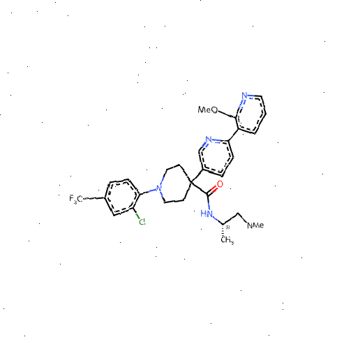 CNC[C@H](C)NC(=O)C1(c2ccc(-c3cccnc3OC)nc2)CCN(c2ccc(C(F)(F)F)cc2Cl)CC1